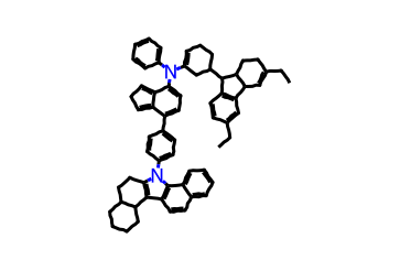 CCC1=CC2c3cc(CC)ccc3C(C3CCC=C(N(c4ccccc4)c4ccc(-c5ccc(-n6c7c(c8ccc9ccccc9c86)C6CCCCC6CC7)cc5)c5c4=CCC=5)C3)C2CC1